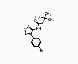 CC(C)(C)OC(=O)Nc1nonc1-c1ccc(Br)cc1